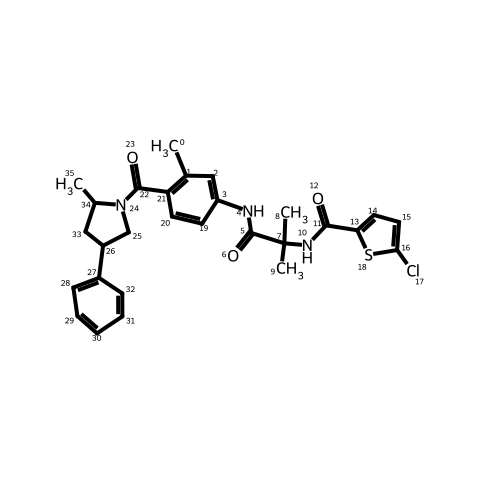 Cc1cc(NC(=O)C(C)(C)NC(=O)c2ccc(Cl)s2)ccc1C(=O)N1CC(c2ccccc2)CC1C